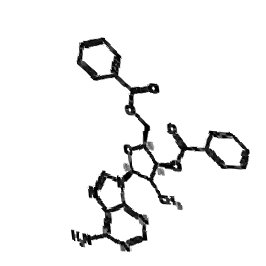 CC1[C@H](OC(=O)c2ccccc2)[C@H](COC(=O)c2ccccc2)O[C@@H]1n1cnc2c(N)ncnc21